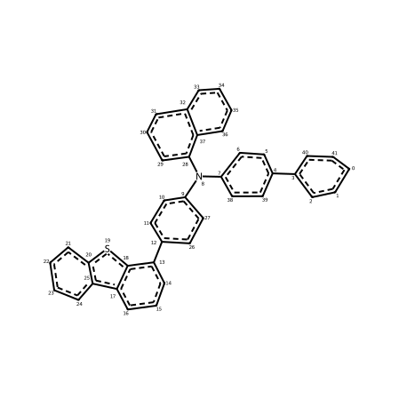 c1ccc(-c2ccc(N(c3ccc(-c4cccc5c4sc4ccccc45)cc3)c3cccc4ccccc34)cc2)cc1